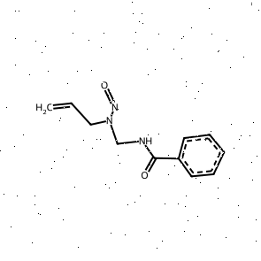 C=CCN(CNC(=O)c1ccccc1)N=O